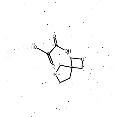 C1CC2(CN1)COC2.O=C(O)C(=O)O